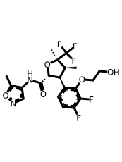 Cc1oncc1NC(=O)[C@@H]1O[C@@](C)(C(F)(F)F)[C@@H](C)[C@H]1c1ccc(F)c(F)c1OCCO